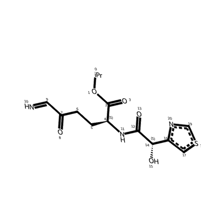 CC(C)OC(=O)[C@H](CCC(=O)C=N)NC(=O)[C@@H](O)c1cscn1